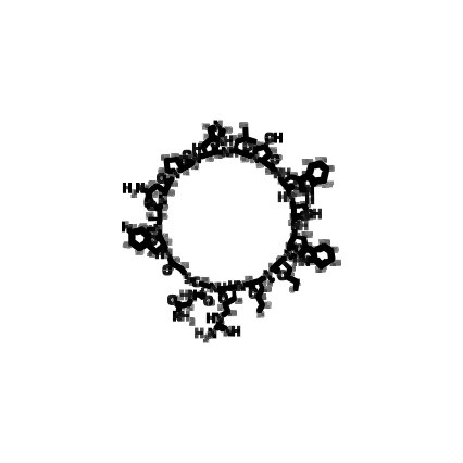 CCCC[C@H]1C(=O)N(C)[C@@H](CCCC)C(=O)N[C@@H](CCCNC(=N)N)C(=O)N[C@H](C(=O)NCC(N)=O)CSCC(=O)NC(Cc2ccc(F)cc2)C(=O)N(C)[C@@H](C)C(=O)NC(CC(N)=O)C(=O)N2CCC[C@H]2C(=O)N[C@@H](Cc2cnc[nH]2)C(=O)N[C@@H](CC(C)C)C(=O)N2C[C@H](O)CC2C(=O)N[C@@H](Cc2c[nH]c3ccccc23)C(=O)N[C@@H](CO)C(=O)N[C@@H](Cc2c[nH]c3ccccc23)C(=O)N1C